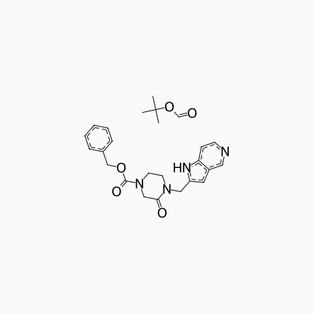 CC(C)(C)OC=O.O=C1CN(C(=O)OCc2ccccc2)CCN1Cc1cc2cnccc2[nH]1